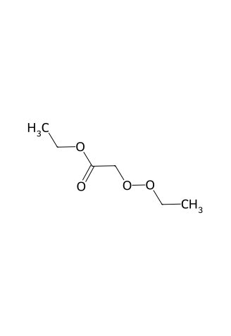 CCOOCC(=O)OCC